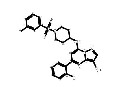 Bc1cnn2c(NC3CCN(S(=O)(=O)c4cccc(C)c4)CC3)cc(-c3ccccc3Cl)nc12